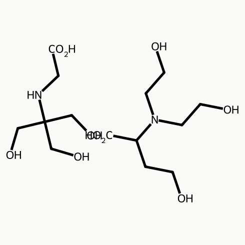 O=C(O)C(CCO)N(CCO)CCO.O=C(O)CNC(CO)(CO)CO